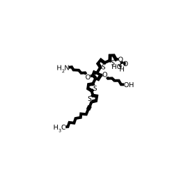 CCCCCCCCC#Cc1ccc(-c2ccc(-c3cc(OCCCCCO)c(-c4ccc(-c5ccc(O[PH](=O)O)s5)s4)cc3OCCCCCN)s2)s1